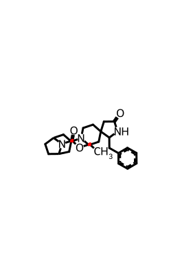 CCOC(=O)N1C2CCC1CC(N1CCC3(CC1)CC(=O)NC3Cc1ccccc1)C2